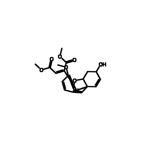 COC(=O)/C=C(\C(=O)OC)N1CCC23C=CC(O)CC2Oc2c(OC)ccc(c23)C1